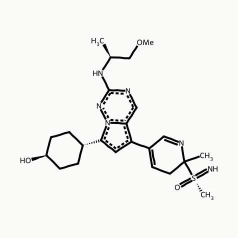 COC[C@H](C)Nc1ncc2c(C3=CCC(C)([S@@](C)(=N)=O)N=C3)cc([C@H]3CC[C@H](O)CC3)n2n1